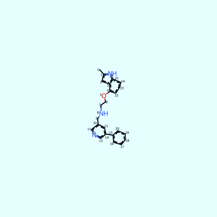 Cc1cc2c(OCCNCc3cncc(-c4ccccc4)c3)cccc2[nH]1